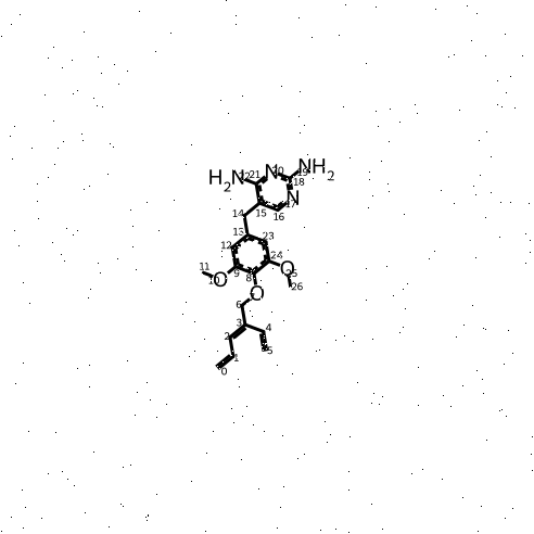 C=C/C=C(\C=C)COc1c(OC)cc(Cc2cnc(N)nc2N)cc1OC